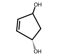 O[C]1C=C[C@@H](O)C1